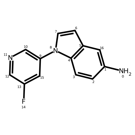 Nc1ccc2c(ccn2-c2cncc(F)c2)c1